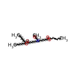 CCCCC#CCCCOC(=O)CCCCCCCN(CCCCCCCC(=O)OC(CCCCCCCC)CCCCCCCC)CCCOC